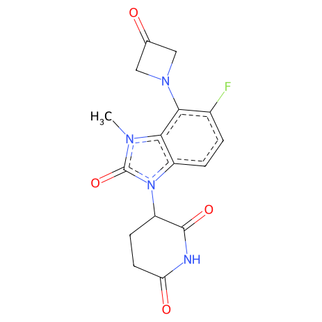 Cn1c(=O)n(C2CCC(=O)NC2=O)c2ccc(F)c(N3CC(=O)C3)c21